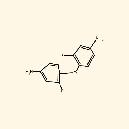 Nc1ccc(Oc2ccc(N)cc2F)c(F)c1